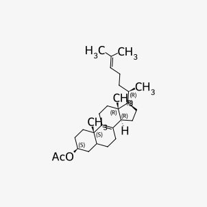 CC(=O)O[C@H]1CC[C@]2(C)C3=C(CCC2C1)[C@@H]1CC[C@H]([C@H](C)CCC=C(C)C)[C@@]1(C)CC3